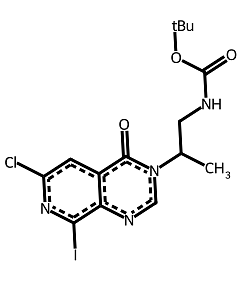 CC(CNC(=O)OC(C)(C)C)n1cnc2c(I)nc(Cl)cc2c1=O